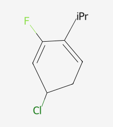 CC(C)C1=CCC(Cl)C=C1F